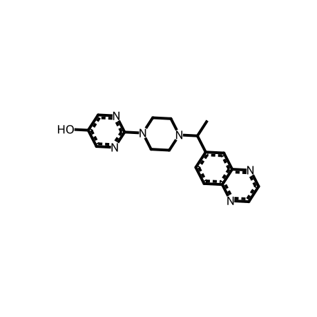 CC(c1ccc2nccnc2c1)N1CCN(c2ncc(O)cn2)CC1